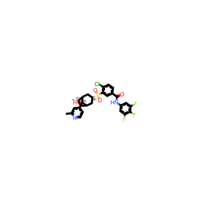 Cc1cc([C@@]2(O)C3C[C@@H](S(=O)(=O)c4cc(C(=O)Nc5cc(F)c(F)c(F)c5)ccc4Cl)CC2[C@@H](C)C3)ccn1